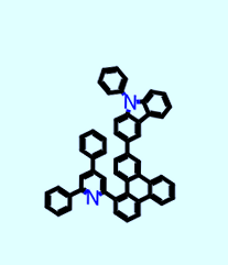 c1ccc(-c2cc(-c3ccccc3)nc(-c3cccc4c5ccccc5c5cc(-c6ccc7c(c6)c6ccccc6n7-c6ccccc6)ccc5c34)c2)cc1